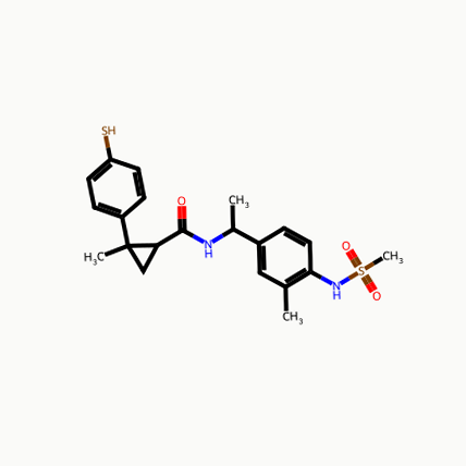 Cc1cc(C(C)NC(=O)C2CC2(C)c2ccc(S)cc2)ccc1NS(C)(=O)=O